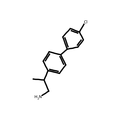 CC(CN)c1ccc(-c2ccc(Cl)cc2)cc1